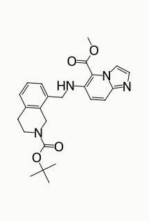 COC(=O)c1c(NCc2cccc3c2CN(C(=O)OC(C)(C)C)CC3)ccc2nccn12